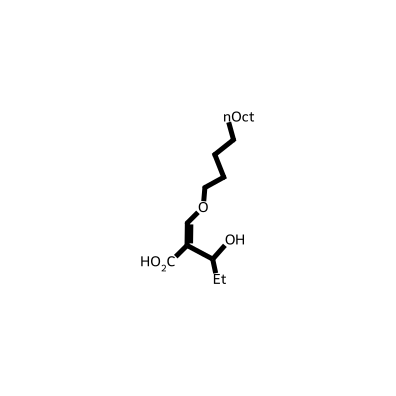 CCCCCCCCCCCCOC=C(C(=O)O)C(O)CC